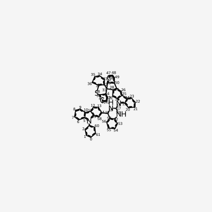 c1ccc(-n2c3ccccc3c3ccc(C4NC(n5c6ccccc6c6cc7c(cc65)C5(c6ccccc6Sc6ccccc65)c5ccccc5-7)Nc5ccccc54)cc32)cc1